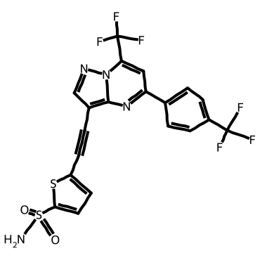 NS(=O)(=O)c1ccc(C#Cc2cnn3c(C(F)(F)F)cc(-c4ccc(C(F)(F)F)cc4)nc23)s1